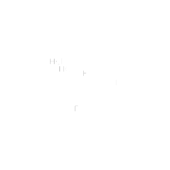 Cl.Cl.FC=C(F)F